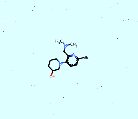 CCC(C)c1ccc(N2CCCC(O)C2)c(CN(C)C)n1